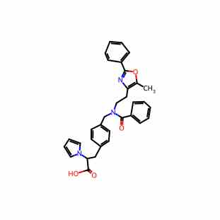 Cc1oc(-c2ccccc2)nc1CCN(Cc1ccc(CC(C(=O)O)n2cccc2)cc1)C(=O)c1ccccc1